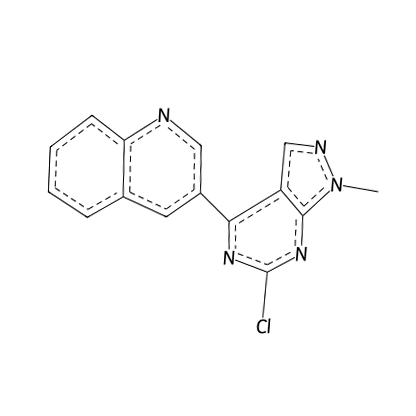 Cn1ncc2c(-c3cnc4ccccc4c3)nc(Cl)nc21